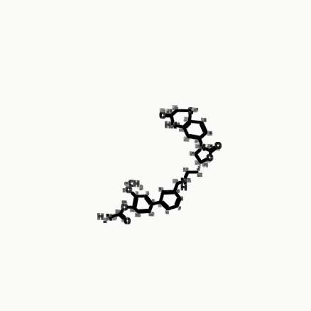 COc1cc(-c2cccc(CNCC[C@@H]3CN(c4ccc5c(c4)NC(=O)CS5)C(=O)O3)c2)ccc1OC(N)=O